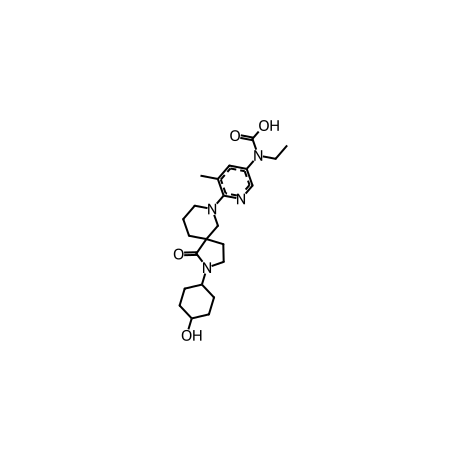 CCN(C(=O)O)c1cnc(N2CCCC3(CCN(C4CCC(O)CC4)C3=O)C2)c(C)c1